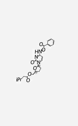 CC(C)CC(=O)OC[C@@H]1CC[C@H](n2ccc(NOC(=O)c3ccccc3)nc2=O)O1